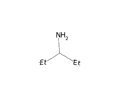 C[CH]C(N)CC